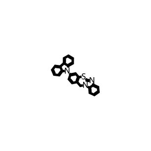 c1ccc2c(c1)nc1n2Cc2ccc(-n3c4ccccc4c4ccccc43)cc2S1